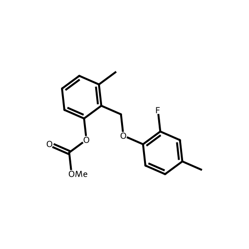 COC(=O)Oc1cccc(C)c1COc1ccc(C)cc1F